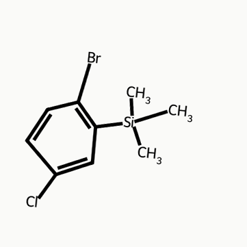 C[Si](C)(C)c1cc(Cl)ccc1Br